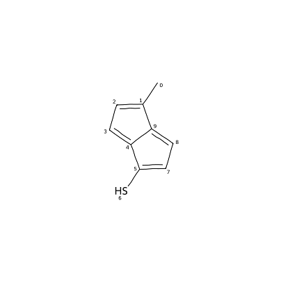 CC1=CC=C2C(S)=CC=C12